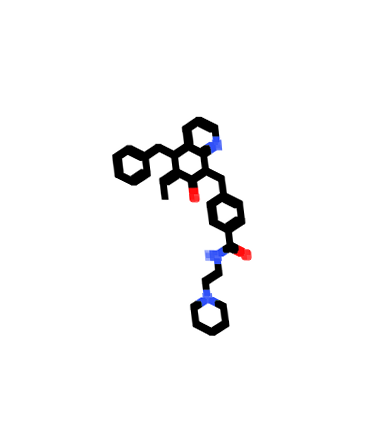 CC=C1C(=O)C(Cc2ccc(C(=O)NCCN3CCCCC3)cc2)c2ncccc2C1Cc1ccccc1